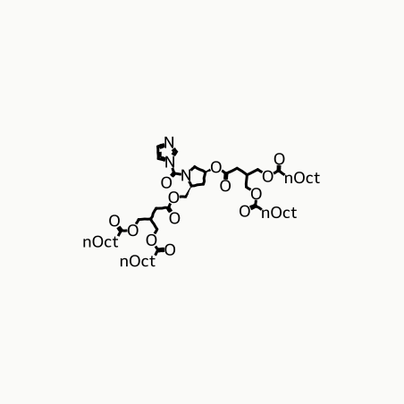 CCCCCCCCC(=O)OCC(COC(=O)CCCCCCCC)CC(=O)OC[C@@H]1C[C@H](OC(=O)CC(COC(=O)CCCCCCCC)COC(=O)CCCCCCCC)CN1C(=O)n1ccnc1